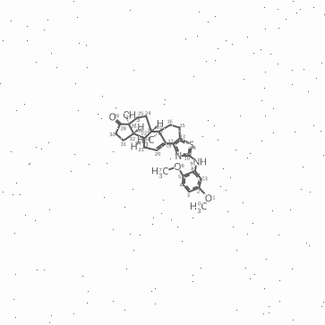 COc1ccc(OC)c(Nc2nc3c(s2)CC[C@@]2(C)C3=CC[C@@H]3[C@@H]2CC[C@]2(C)C(=O)CC[C@@H]32)c1